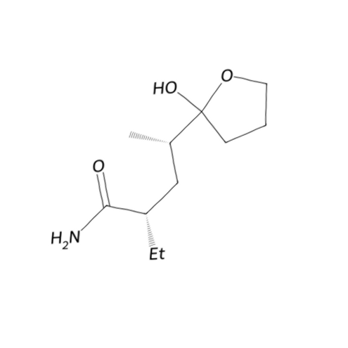 CC[C@@H](C[C@H](C)C1(O)CCCO1)C(N)=O